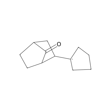 O=C1C2CCC1C([C]1CCCC1)C2